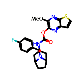 COc1nc2sccc2nc1OC(=O)NC1CC2CCC(C1)N2Cc1ccc(F)cc1